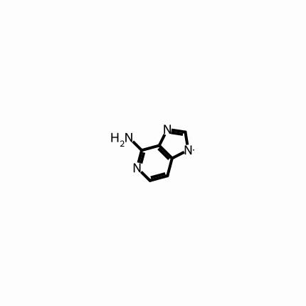 Nc1nccc2c1N=C[N]2